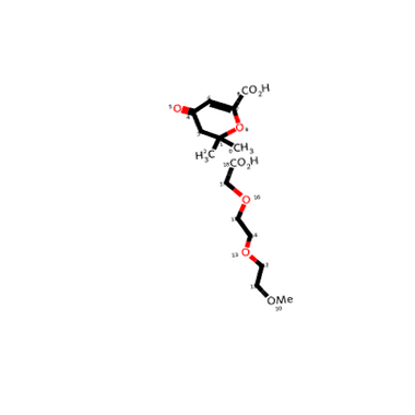 CC1(C)CC(=O)C=C(C(=O)O)O1.COCCOCCOCC(=O)O